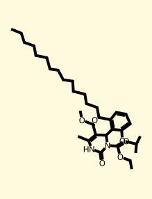 CCCCCCCCCCCCCCCc1cccc(OC(C)C)c1C1C(C(=O)OC)=C(C)NC(=O)N1C(=O)OCC